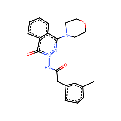 Cc1cccc(CC(=O)Nn2nc(N3CCOCC3)c3ccccc3c2=O)c1